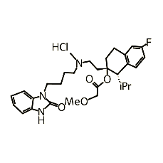 COCC(=O)O[C@]1(CCN(C)CCCCn2c(=O)[nH]c3ccccc32)CCc2cc(F)ccc2[C@@H]1C(C)C.Cl